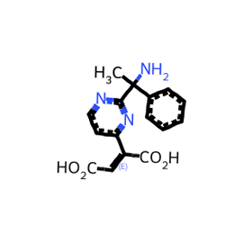 CC(N)(c1ccccc1)c1nccc(/C(=C\C(=O)O)C(=O)O)n1